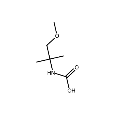 COCC(C)(C)NC(=O)O